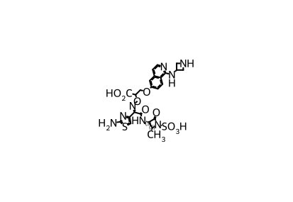 C[C@H]1[C@H](NC(=O)C(=NOC(COc2ccc3c(NC4CNC4)nccc3c2)C(=O)O)c2csc(N)n2)C(=O)N1S(=O)(=O)O